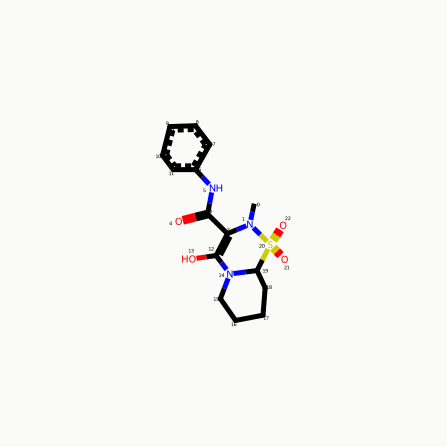 CN1C(C(=O)Nc2ccccc2)=C(O)N2CCCCC2S1(=O)=O